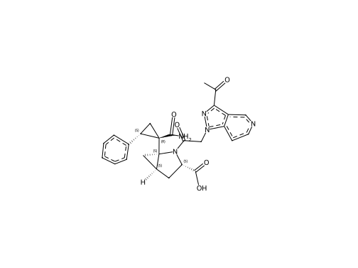 CC(=O)c1nn(CC(=O)N2[C@H](C(=O)O)C[C@H]3C[C@@]32[C@@]2(C(N)=O)C[C@H]2c2ccccc2)c2ccncc12